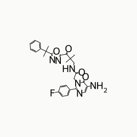 CC(C)(CNC(=O)Cn1c(-c2ccc(F)cc2)ncc(N)c1=O)C(=O)c1nnc(C(C)(C)c2ccccc2)o1